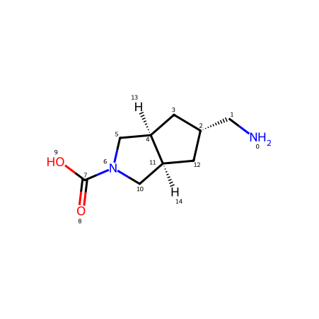 NC[C@H]1C[C@@H]2CN(C(=O)O)C[C@@H]2C1